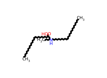 CCCCCCCCCCCCCCC/C=C\CCCCCCCCCNC(CCCC)CC(CCCCCCC/C=C\CCCCCCCCCCCCCCC)C(=O)O